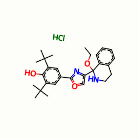 CCOC1(c2coc(-c3cc(C(C)(C)C)c(O)c(C(C)(C)C)c3)n2)NCCc2ccccc21.Cl